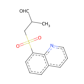 CC(C=O)CS(=O)(=O)c1cccc2cccnc12